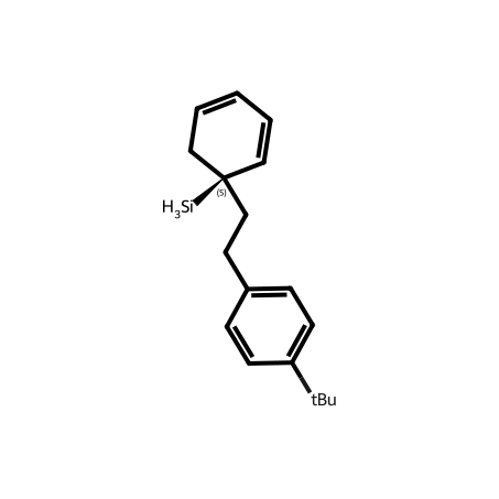 CC(C)(C)c1ccc(CC[C@@]2([SiH3])C=CC=CC2)cc1